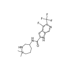 C[Si]1(C)CCCC(NC(=O)c2cc3c(F)c(C(F)(F)F)ncc3[nH]2)CN1